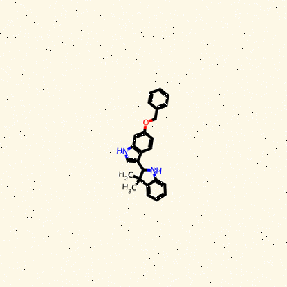 CC1(C)c2ccccc2NC1c1c[nH]c2cc(OCc3ccccc3)ccc12